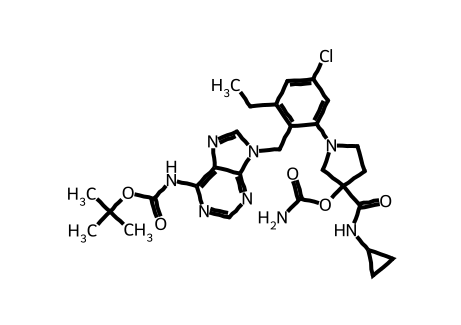 CCc1cc(Cl)cc(N2CCC(OC(N)=O)(C(=O)NC3CC3)C2)c1Cn1cnc2c(NC(=O)OC(C)(C)C)ncnc21